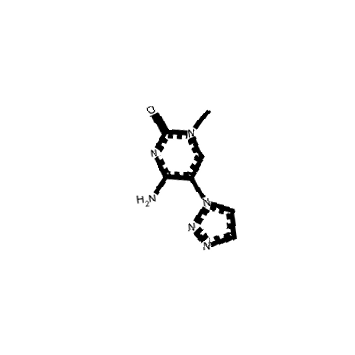 Cn1cc(-n2ccnn2)c(N)nc1=O